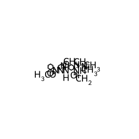 C=CC(=O)Nc1cc(Nc2nccc(N(C=O)c3ccccc3OC)n2)c(OC)cc1N(C)CCN(C)C